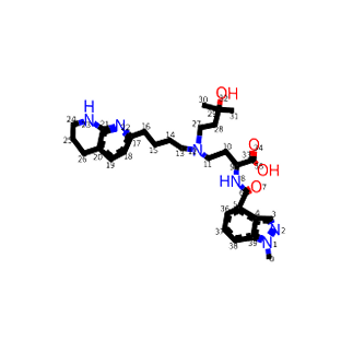 Cn1ncc2c(C(=O)NC(CCN(CCCCc3ccc4c(n3)NCCC4)CCC(C)(C)O)C(=O)O)cccc21